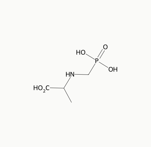 CC(NCP(=O)(O)O)C(=O)O